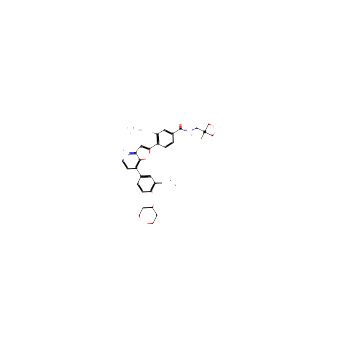 COc1cc(C(=O)NCC2(C)COC2)ccc1-c1cc2nccc(-c3ccc(OC4CCOCC4)c(C#N)c3)c2o1